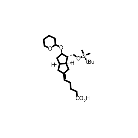 CC(C)(C)[Si](C)(C)OC[C@@H]1[C@H]2C/C(=C\CCCC(=O)O)C[C@H]2C[C@H]1OC1CCCCO1